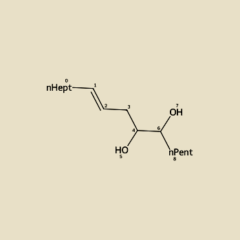 [CH2]CCCCCCC=CCC(O)C(O)CCCCC